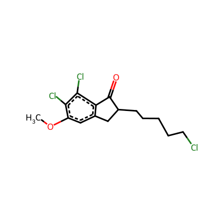 COc1cc2c(c(Cl)c1Cl)C(=O)C(CCCCCCl)C2